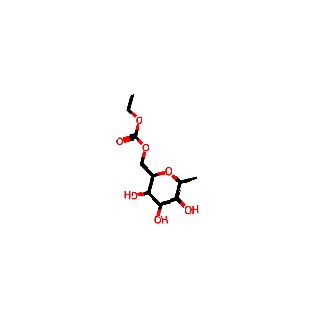 CCOC(=O)OCC1OC(C)C(O)C(O)C1O